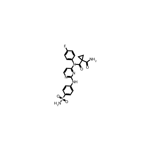 NC(=O)C1(C(=O)N(c2ccc(F)cc2)c2ccnc(Nc3ccc(S(N)(=O)=O)cc3)n2)CC1